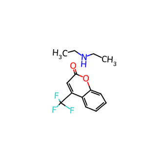 CCNCC.O=c1cc(C(F)(F)F)c2ccccc2o1